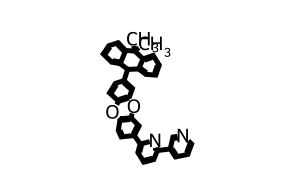 CC1(C)c2ccccc2C(c2ccc3c(c2)Oc2cc(-c4cccc(-c5cccnc5)n4)ccc2O3)c2ccccc21